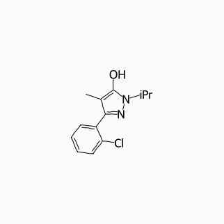 Cc1c(-c2ccccc2Cl)nn(C(C)C)c1O